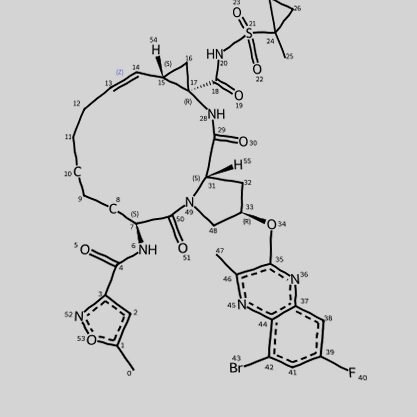 Cc1cc(C(=O)N[C@H]2CCCCC/C=C\[C@@H]3C[C@@]3(C(=O)NS(=O)(=O)C3(C)CC3)NC(=O)[C@@H]3C[C@@H](Oc4nc5cc(F)cc(Br)c5nc4C)CN3C2=O)no1